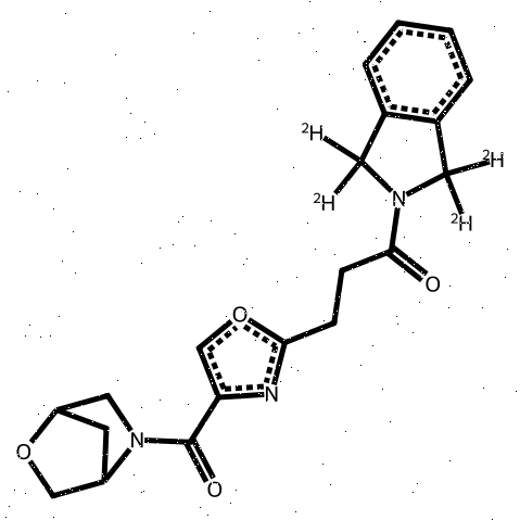 [2H]C1([2H])c2ccccc2C([2H])([2H])N1C(=O)CCc1nc(C(=O)N2CC3CC2CO3)co1